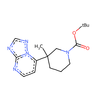 CC(C)(C)OC(=O)N1CCCC(C)(c2ccnc3ncnn23)C1